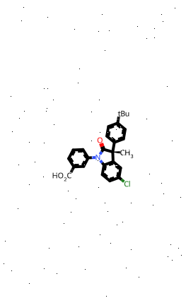 CC(C)(C)c1ccc([C@@]2(C)C(=O)N(c3cccc(C(=O)O)c3)c3ccc(Cl)cc32)cc1